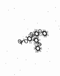 O=P(c1ccc(OCC2CO2)cc1)(c1ccc(Oc2ccccc2)cc1)c1ccc(Oc2ccccc2)cc1